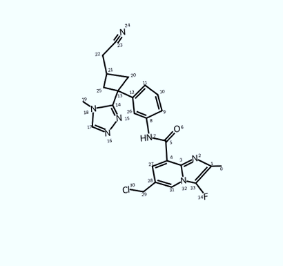 Cc1nc2c(C(=O)Nc3cccc(C4(c5nncn5C)CC(CC#N)C4)c3)cc(CCl)cn2c1F